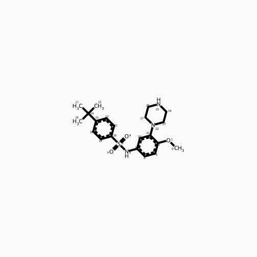 COc1ccc(NS(=O)(=O)c2ccc(C(C)(C)C)cc2)cc1N1CCNCC1